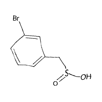 O=S(O)Cc1cccc(Br)c1